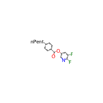 CCCCCc1ccc(C(=O)Oc2cnc(F)c(F)c2)cc1